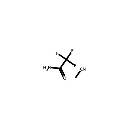 CC#N.NC(=O)C(F)(F)F